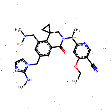 CCOc1cc([C@H](C)N2CC3(CC3)c3c(CN(C)C)cc(Cn4ccnc4NC)cc3C2=O)ncc1C#N